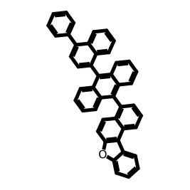 c1ccc(-c2ccc(-c3c4ccccc4c(-c4cccc5c4ccc4oc6ccccc6c45)c4ccccc34)c3ccccc23)cc1